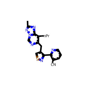 CCCc1c(Cc2csnc2-c2ncccc2C#N)ncn2nc(C)nc12